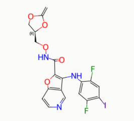 C=C1OC[C@H](CONC(=O)c2oc3ccncc3c2Nc2cc(F)c(I)cc2F)O1